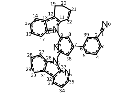 N#Cc1cccc(-c2cc(-n3c4c(c5ccccc53)CCC=C4)nc(-n3c4ccccc4c4cccnc43)c2)c1